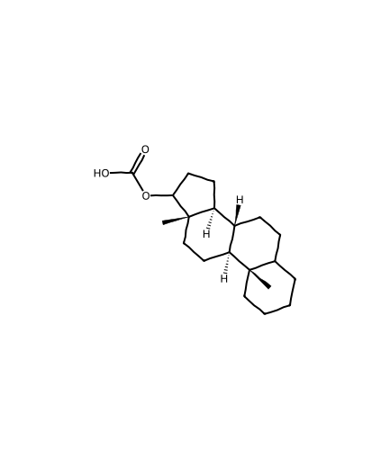 C[C@]12CCCCC1CC[C@@H]1[C@@H]2CC[C@]2(C)C(OC(=O)O)CC[C@@H]12